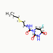 CCCSCCNC(=O)n1cc(F)c(=O)[nH]c1=O